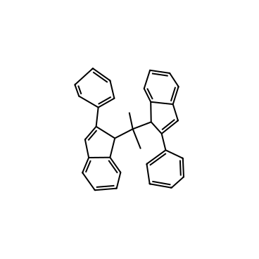 CC(C)(C1C(c2ccccc2)=Cc2ccccc21)C1C(c2ccccc2)=Cc2ccccc21